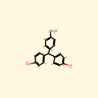 O=S(=O)(O)c1ccc(C(c2ccc(O)cc2)c2ccc(O)cc2)cc1